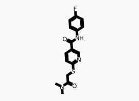 CN(C)C(=O)CSc1ccc(C(=O)Nc2ccc(F)cc2)cn1